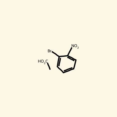 CC(=O)O.O=[N+]([O-])c1ccccc1Br